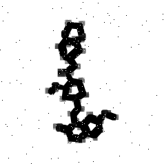 COc1ccc2ncc(=O)n(CCN3CC[C@H](NCc4cc5c(cn4)OCCO5)[C@H](OC)C3)c2c1